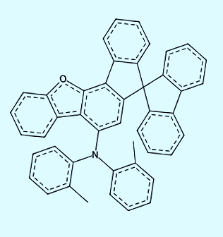 Cc1ccccc1N(c1ccccc1C)c1cc2c(c3oc4ccccc4c13)-c1ccccc1C21c2ccccc2-c2ccccc21